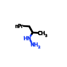 CCCCC(C)NN